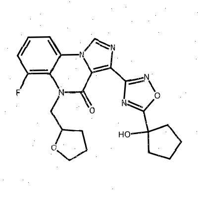 O=c1c2c(-c3noc(C4(O)CCCC4)n3)ncn2c2cccc(F)c2n1CC1CCCO1